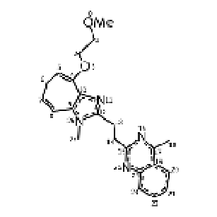 COCCOC1=CCC=Cc2c1nc(CCc1nc(C)c3ccccc3n1)n2C